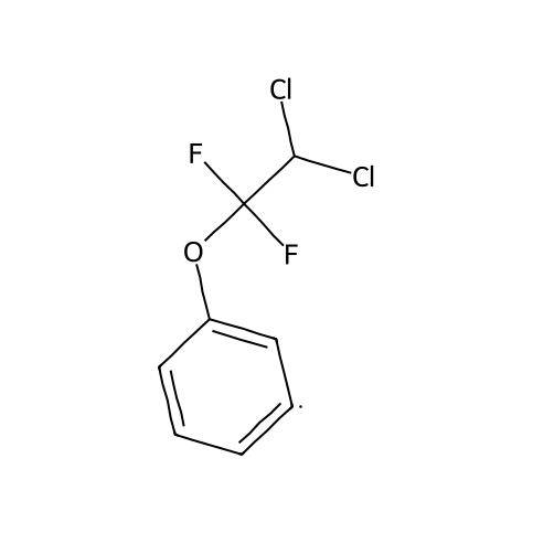 FC(F)(Oc1c[c]ccc1)C(Cl)Cl